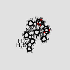 CC1(C)c2ccccc2-c2ccc3c(c21)c1ccccc1n3-c1c(C#N)c(-n2c3ccccc3c3ccccc32)c(-n2c3ccccc3c3ccccc32)c(-n2c3ccccc3c3ccccc32)c1C#N